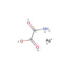 NC(=O)C(=O)[O-].[Ag+]